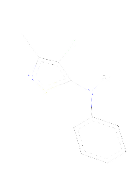 CC(=O)N(c1ccccc1)c1snc(C)c1Cl